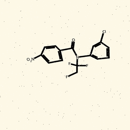 O=C(c1ccc([N+](=O)[O-])cc1)N(c1cccc(Cl)c1)C(F)(F)CF